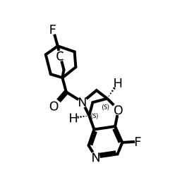 O=C(N1C[C@@H]2C[C@H]1c1cncc(F)c1O2)C12CCC(F)(CC1)CC2